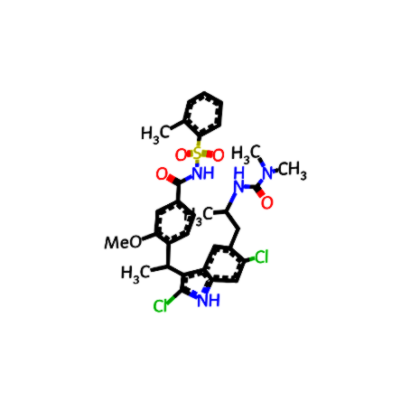 COc1cc(C(=O)NS(=O)(=O)c2ccccc2C)ccc1C(C)c1c(Cl)[nH]c2cc(Cl)c(CC(C)NC(=O)N(C)C)cc12